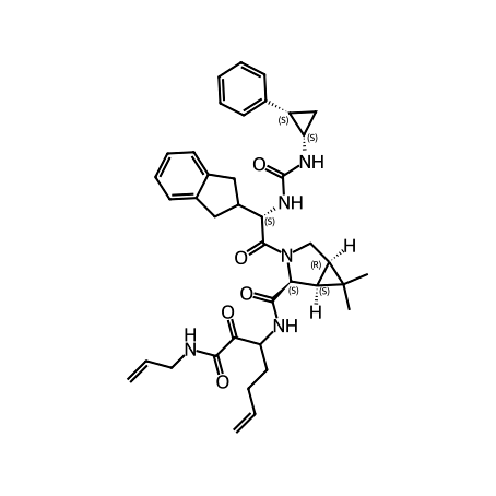 C=CCCC(NC(=O)[C@@H]1[C@H]2[C@@H](CN1C(=O)[C@@H](NC(=O)N[C@H]1C[C@H]1c1ccccc1)C1Cc3ccccc3C1)C2(C)C)C(=O)C(=O)NCC=C